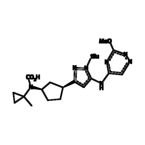 COc1nncc(Nc2cc([C@H]3CC[C@@H](N(C(=O)O)C4(C)CC4)C3)nn2C(C)(C)C)n1